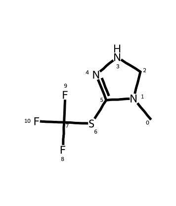 CN1CNN=C1SC(F)(F)F